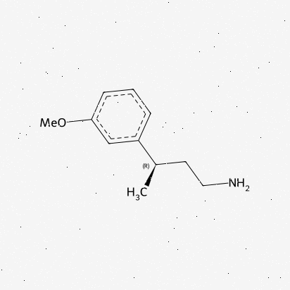 COc1cccc([C@H](C)CCN)c1